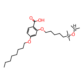 CCCCCCCCOc1ccc(C(=O)O)c(OCCCCC[Si](C)(C)O[SiH](C)C)c1